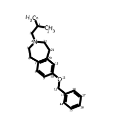 CC(C)CN1CCc2ccc(OCc3ccccc3)cc2CC1